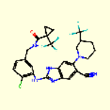 N#Cc1cc2nc(Nc3cc(CNC(=O)C4(C(F)(F)F)CC4)ccc3Cl)[nH]c2cc1N1CCCC(C(F)(F)F)C1